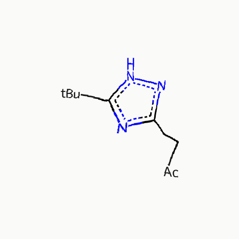 CC(=O)Cc1n[nH]c(C(C)(C)C)n1